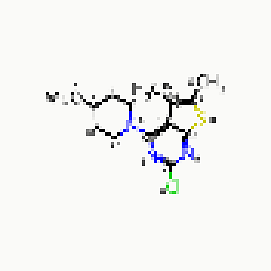 COC1CCN(c2nc(Cl)nc3sc(C)c(C)c23)CC1